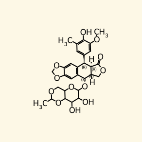 COc1cc([C@@H]2c3cc4c(cc3[C@@H](OC3OC5COC(C)OC5C(O)C3O)[C@H]3COC(=O)[C@H]23)OCO4)cc(C)c1O